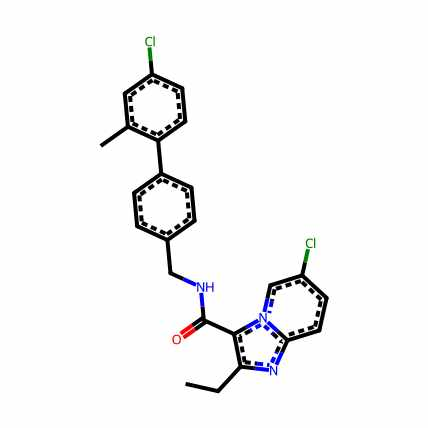 CCc1nc2ccc(Cl)cn2c1C(=O)NCc1ccc(-c2ccc(Cl)cc2C)cc1